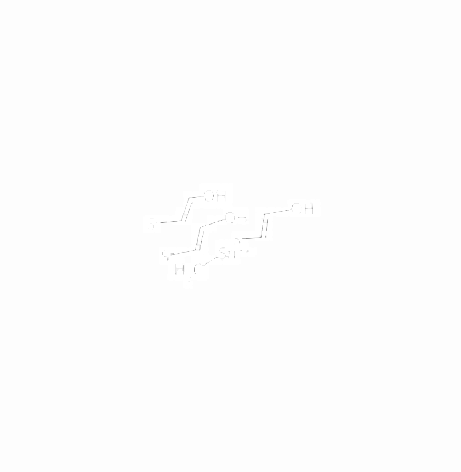 OC=C[S-].OC=C[S-].OC=C[S-].[CH3][Sn+3]